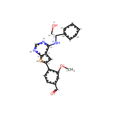 COc1cc(C=O)ccc1-c1cc2c(N[C@H](CO)c3ccccc3)ncnc2s1